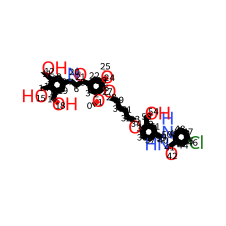 COc1cc(C2CC(c3cc(CO)c(CO)c(CO)c3)=NO2)cc(OC)c1OCCCCCCOc1ccc(C2NC(=O)c3cc(Cl)ccc3N2)cc1CO